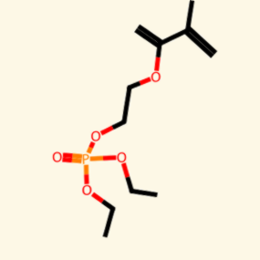 C=C(C)C(=C)OCCOP(=O)(OCC)OCC